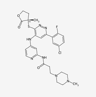 CN1CCN(CCC(=O)Nc2cc(Nc3cc(-c4cc(Cl)ccc4F)nnc3S[C@@]3(C)CCOC3=O)ccn2)CC1